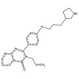 C=CCn1c(-c2ccc(OCCCC3CCNC3)cc2)nc2ncccc2c1=O